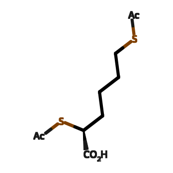 CC(=O)SCCCC[C@H](SC(C)=O)C(=O)O